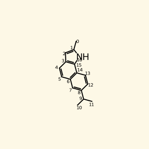 Cc1cc2ccc3cc(C(C)C)ccc3c2[nH]1